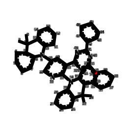 CC1(C)c2ccccc2N(c2cnc(N3c4ccccc4C(C)(C)c4ccccc43)c(-c3nc(-c4ccccc4)nc(-c4ccccc4)n3)c2)c2ccccc21